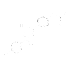 CC(=O)Oc1ccc(C(C)OS(=O)(=O)c2ccc(C)cc2)cc1